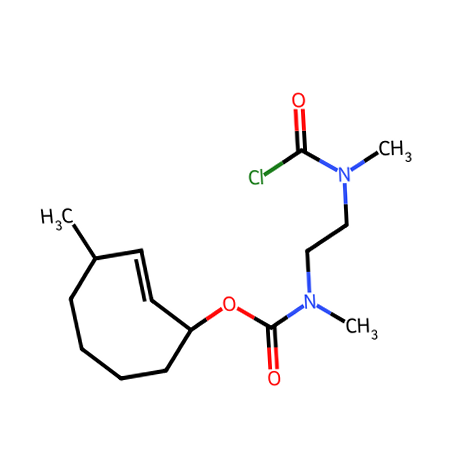 CC1/C=C/C(OC(=O)N(C)CCN(C)C(=O)Cl)CCCC1